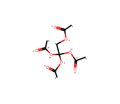 CC(=O)OCC(OC(C)=O)(OC(C)=O)OC(C)=O